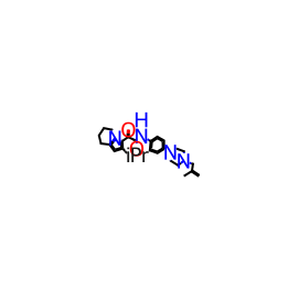 C=C(C)CN1CCN(c2ccc(NC(=O)C(=O)c3c(C(C)C)cc4n3CCCC4)cc2)CC1